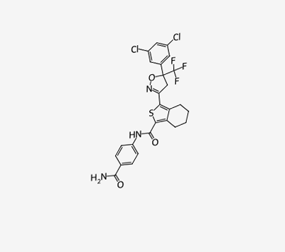 NC(=O)c1ccc(NC(=O)c2sc(C3=NOC(c4cc(Cl)cc(Cl)c4)(C(F)(F)F)C3)c3c2CCCC3)cc1